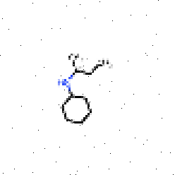 CC[C@H](C)NC1CCCCC1